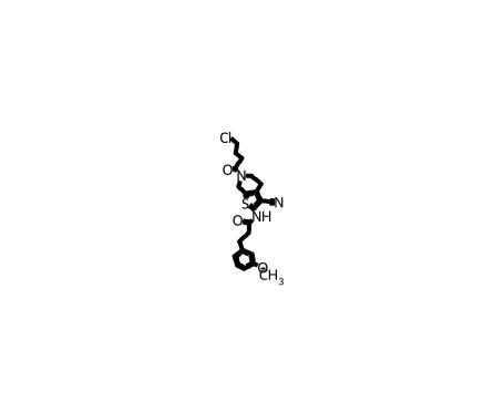 COc1cccc(CCC(=O)Nc2sc3c(c2C#N)CCN(C(=O)CCCCl)C3)c1